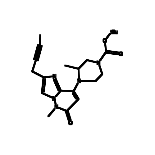 CC#CCc1cn2c(n1)c(N1CCN(C(=O)OC(C)(C)C)CC1C)cc(=O)n2C